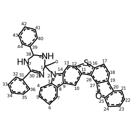 CC1(n2c3ccccc3c3cc4c(cc32)sc2ccc3c5ccccc5oc3c24)N=C(c2ccccc2)NC(c2ccccc2)N1